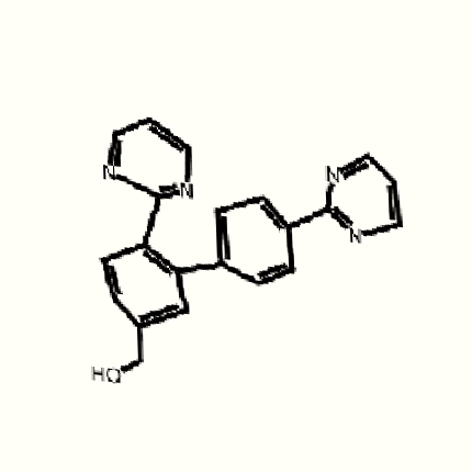 OCc1ccc(-c2ncccn2)c(-c2ccc(-c3ncccn3)cc2)c1